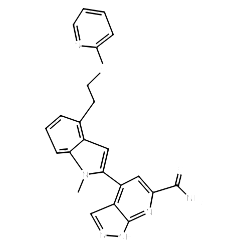 Cn1c(-c2cc(C(N)=O)nc3[nH]ncc23)cc2c(CCOc3ccccn3)cccc21